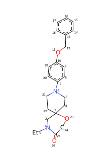 CCN1CC2(CCN(c3ccc(OCc4ccccc4)cc3)CC2)OCC1=O